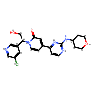 O=c1cc(-c2ccnc(NC3CCOCC3)n2)ccn1[C@H](CO)c1cncc(Cl)c1